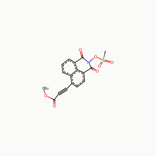 CC(C)(C)OC(=O)C#Cc1ccc2c3c(cccc13)C(=O)N(OS(C)(=O)=O)C2=O